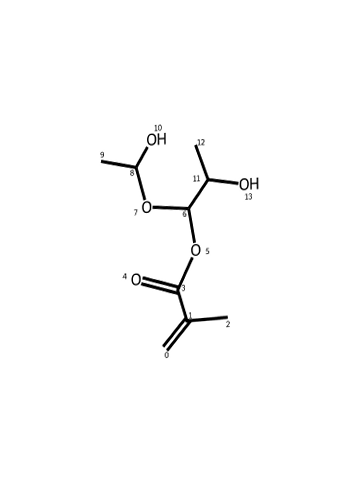 C=C(C)C(=O)OC(OC(C)O)C(C)O